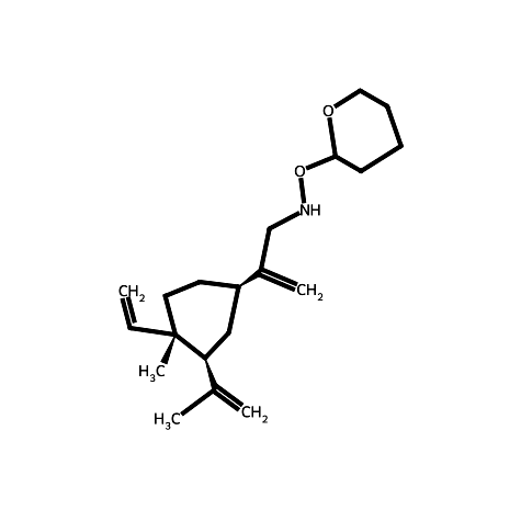 C=C[C@]1(C)CC[C@@H](C(=C)CNOC2CCCCO2)C[C@H]1C(=C)C